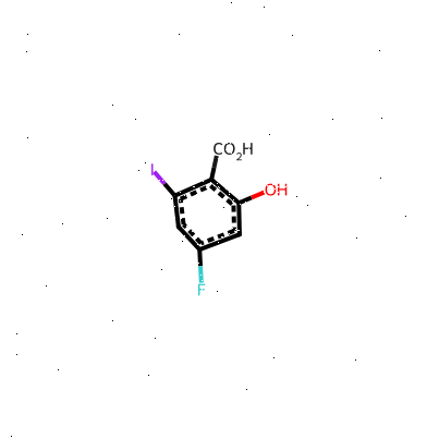 O=C(O)c1c(O)cc(F)cc1I